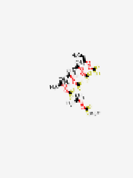 CC(C)OOC(=S)[S-].CC(C)OOC(=S)[S-].CC(C)OOC(=S)[S-].CC(C)OOC(=S)[S-].CCCOOC(=S)S.[Mo+4]